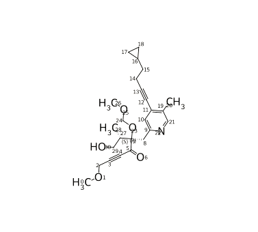 COCC#CC(=O)[C@](Cc1cc(C#CCCC2CC2)c(C)cn1)(OCOC)[C@@H](C)CO